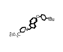 CCOC(=O)[C@@H]1CCCN(Cc2ccc3cc(OC4CCC(C(C)(C)C)CC4)ccc3c2)C1